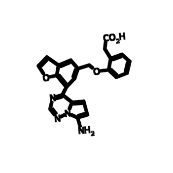 Nc1ccc2c(-c3cc(COc4ccccc4CC(=O)O)cc4ccoc34)ncnn12